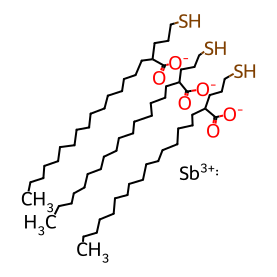 CCCCCCCCCCCCCCCCC(CCCS)C(=O)[O-].CCCCCCCCCCCCCCCCC(CCCS)C(=O)[O-].CCCCCCCCCCCCCCCCC(CCCS)C(=O)[O-].[Sb+3]